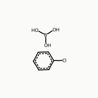 Clc1ccccc1.OB(O)O